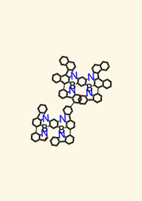 c1ccc2c(c1)ccc1c2c2c3ccccc3c3c4c2n1-c1cc2c(cc1B4n1c4ccccc4c4cccc-3c41)B1c3c(c4ccccc4c4c5c6ccccc6ccc5n-2c34)-c2cccc3c4c(-c5ccc6c(c5)c5ccc7c8c5n6-c5cc6c(cc5B8n5c8ccccc8c8cccc-7c85)B5c7c(ccc8c9ccccc9n-6c78)-c6cccc7c8ccccc8n5c67)cccc4n1c23